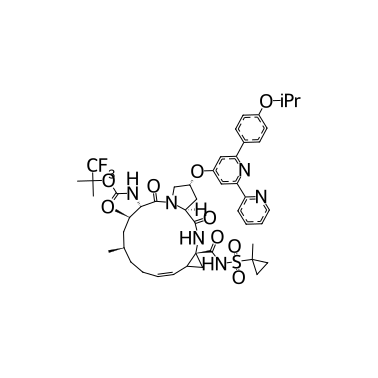 CC(C)Oc1ccc(-c2cc(O[C@@H]3C[C@H]4C(=O)N[C@]5(C(=O)NS(=O)(=O)C6(C)CC6)CC5/C=C\CC[C@@H](C)C[C@@H](C)[C@H](NC(=O)OC(C)(C)C(F)(F)F)C(=O)N4C3)cc(-c3ccccn3)n2)cc1